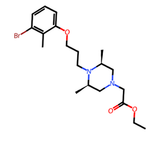 CCOC(=O)CN1C[C@@H](C)N(CCCOc2cccc(Br)c2C)[C@@H](C)C1